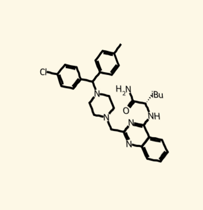 CCC(C)[C@H](Nc1nc(CN2CCN(C(c3ccc(C)cc3)c3ccc(Cl)cc3)CC2)nc2ccccc12)C(N)=O